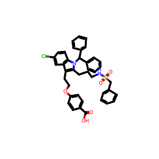 O=C(O)c1ccc(OCCc2c(CCCNS(=O)(=O)Cc3ccccc3)n(C(c3ccccc3)c3ccccc3)c3ccc(Cl)cc23)cc1